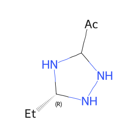 CC[C@H]1NNC(C(C)=O)N1